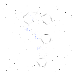 CC(C)(C)c1ccccc1Oc1ncccc1Nc1nc2c(NCc3ccccc3)cccc2o1